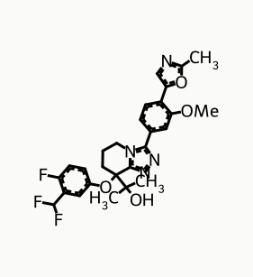 COc1cc(-c2nnc3n2CCCC3(Oc2ccc(F)c(C(F)F)c2)C(C)(C)O)ccc1-c1cnc(C)o1